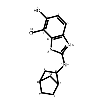 Oc1ccc2nc(NC3CC4CCC3C4)sc2c1Cl